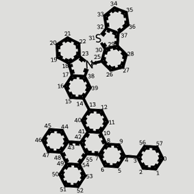 c1ccc(-c2ccc3c(c2)c2ccc(-c4ccc5c6ccccc6n(-c6cccc7c6sc6ccccc67)c5c4)cc2c2c4ccccc4c4ccccc4c32)cc1